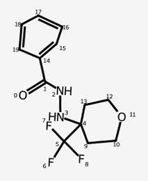 O=C(NNC1(C(F)(F)F)CCOCC1)c1ccccc1